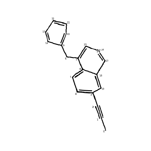 CC#Cc1ccc2c(Cc3ccccc3)cn[c]c2c1